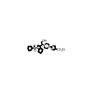 CCOC(=O)c1cnc(N2CCN(C(CO)c3cn(S(=O)(=O)c4ccccc4)c4ccccc34)CC2)nc1